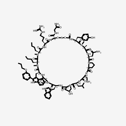 CCCC[C@H]1C(=O)N(C)[C@@H](CCCC)C(=O)N[C@@H](CCCNC(=N)N)C(=O)N[C@H](C(=O)NCC(N)=O)CSCC(=O)N[C@@H](Cc2ccc(O)cc2)C(=O)N(C)[C@@H](C)C(=O)N[C@@H](CC(N)=O)C(=O)N2CCC[C@H]2C(=O)N[C@@H](CN)C(=O)N[C@@H](CC(C)C)C(=O)N2C[C@H](O)C[C@H]2C(=O)N[C@@H](Cc2c[nH]c3ccccc23)C(=O)N[C@@H](CO)C(=O)N[C@@H](Cc2c(-c3cccc(OCCC)c3)[nH]c3ccccc23)C(=O)N1C